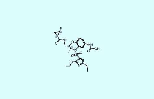 CCOc1nn(CC)cc1S(=O)(=O)N1c2cc(NC(=O)O)ccc2O[C@@H](CNC(=O)[C@H]2C[C@H]2F)[C@H]1C